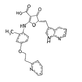 Cc1cc(OCCc2ccccn2)ccc1NC1=C(C(=O)O)C(=O)C(=Cc2c[nH]c3ncccc23)O1